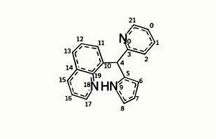 c1ccc(C(c2ccc[nH]2)c2cccc3cccnc23)nc1